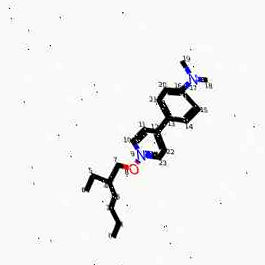 CCCCC(CC)CO[n+]1ccc(-c2ccc(N(C)C)cc2)cc1